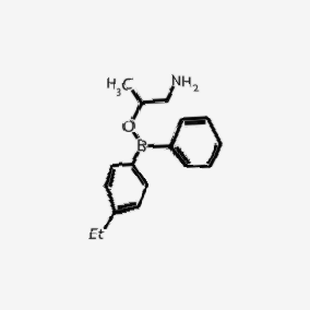 CCc1ccc(B(OC(C)CN)c2ccccc2)cc1